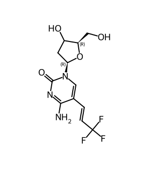 Nc1nc(=O)n([C@H]2CC(O)[C@@H](CO)O2)cc1C=CC(F)(F)F